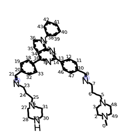 CN1CCN(CCC/N=C/c2ccc(-c3nc(-c4ccc(/C=N\CCCN5CCNCC5)cc4)c4ccn(-c5ccccc5)c4n3)cc2)CC1